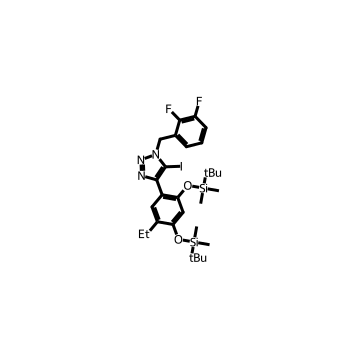 CCc1cc(-c2nnn(Cc3cccc(F)c3F)c2I)c(O[Si](C)(C)C(C)(C)C)cc1O[Si](C)(C)C(C)(C)C